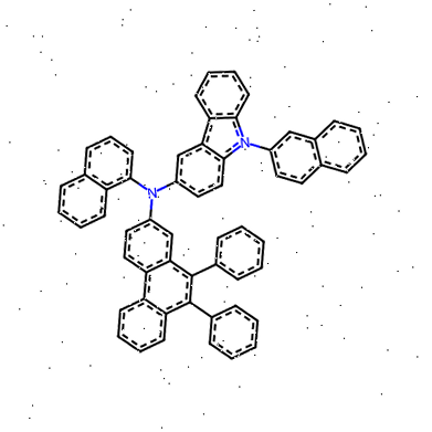 c1ccc(-c2c(-c3ccccc3)c3cc(N(c4ccc5c(c4)c4ccccc4n5-c4ccc5ccccc5c4)c4cccc5ccccc45)ccc3c3ccccc23)cc1